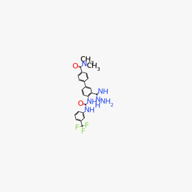 CN(C)C(=O)c1ccc(-c2ccc(NC(=O)Nc3cccc(C(F)(F)F)c3)c(C(=N)NN)c2)cc1